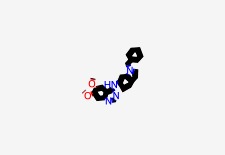 COc1cc2ncnc(Nc3ccc4ccn(Cc5ccccc5)c4c3)c2cc1OC